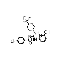 O=C(/N=C(\Nc1cccc(O)n1)NC1CCC(C(F)(F)F)CC1)c1ccc(Cl)cc1